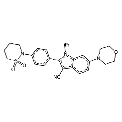 CC(C)n1c(-c2ccc(N3CCCCS3(=O)=O)cc2)c(C#N)c2ccc(N3CCOCC3)cc21